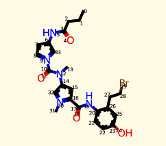 CCCC(=O)Nc1ccn(C(=O)N(C)c2cc(C(=O)Nc3ccc(O)cc3CCBr)n(C)c2)c1